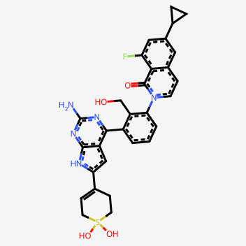 Nc1nc(-c2cccc(-n3ccc4cc(C5CC5)cc(F)c4c3=O)c2CO)c2cc(C3=CCS(O)(O)CC3)[nH]c2n1